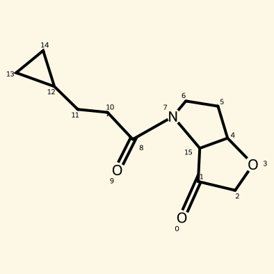 O=C1COC2CCN(C(=O)[CH]CC3CC3)C12